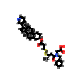 C[C@@H](CC(=O)N(CC(=O)O)Cc1ccccc1)SSCCC(=O)O[C@H]1CC[C@@]2(C)C(=CC[C@@H]3[C@@H]2CC[C@]2(C)C(c4cccnc4)=CC[C@@H]32)C1